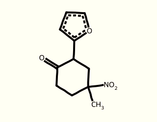 CC1([N+](=O)[O-])CCC(=O)C(c2ccco2)C1